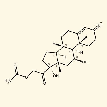 C[C@]12CCC(=O)C=C1CC[C@@H]1[C@@H]2[C@@H](O)C[C@@]2(C)[C@H]1CC[C@]2(O)C(=O)COC(N)=O